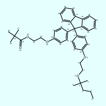 CCCC(C)(C)OCCOc1ccc(C2(c3ccc(OCCOC(=O)C(C)(C)C)cc3)c3ccccc3-c3ccccc32)cc1